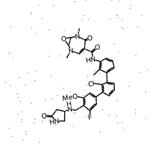 COc1cc(-c2cccc(-c3cccc(NC(=O)C4=CN(C)C5OC5N(C)C4=O)c3C)c2Cl)cc(F)c1CN[C@H]1CNC(=O)C1